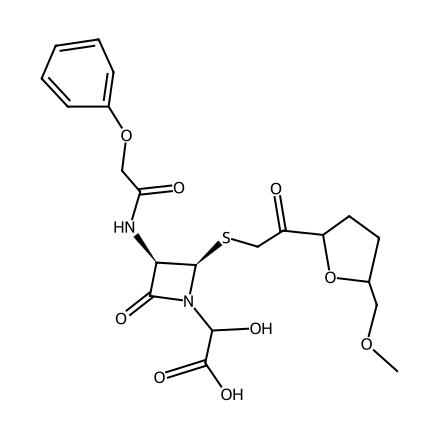 COCC1CCC(C(=O)CS[C@@H]2[C@H](NC(=O)COc3ccccc3)C(=O)N2C(O)C(=O)O)O1